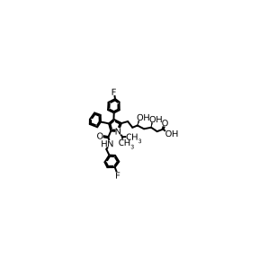 CC(C)n1c(CC[C@@H](O)C[C@@H](O)CC(=O)O)c(-c2ccc(F)cc2)c(-c2ccccc2)c1C(=O)NCc1ccc(F)cc1